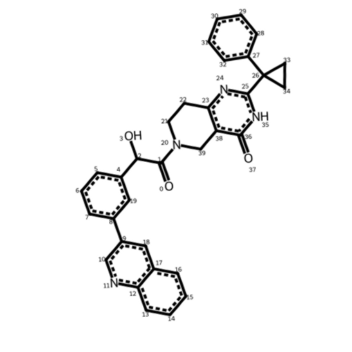 O=C(C(O)c1cccc(-c2cnc3ccccc3c2)c1)N1CCc2nc(C3(c4ccccc4)CC3)[nH]c(=O)c2C1